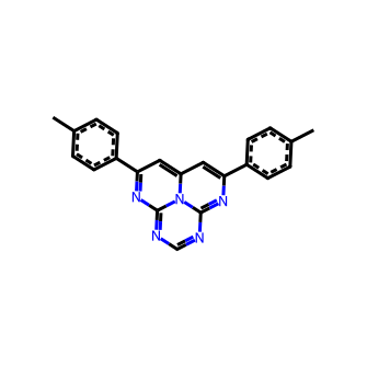 Cc1ccc(C2=CC3=CC(c4ccc(C)cc4)=NC4=NC=NC(=N2)N34)cc1